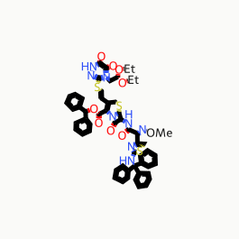 CCOC(Cn1c(SC=CC2=C(C(=O)OC(c3ccccc3)c3ccccc3)N3C(=O)C(NC(=O)C(=NOC)c4csc(NC(c5ccccc5)(c5ccccc5)c5ccccc5)n4)C3SC2)n[nH]c(=O)c1=O)OCC